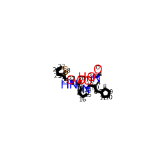 O=CN(O)C[C@@H](CC1CCCC1)C(=O)N1CCC[C@H]1C(=O)NOCc1cccs1